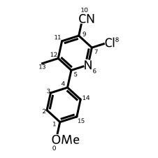 COc1ccc(-c2nc(Cl)c(C#N)cc2C)cc1